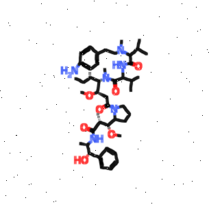 CC[C@H](C)[C@@H]([C@@H](CC(=O)N1CCCC1[C@H](OC)[C@@H](C)C(=O)N[C@H](C)[C@@H](O)c1ccccc1)OC)N(C)C(=O)C(NC(=O)C(C(C)C)N(C)CCc1ccc(N)cc1)C(C)C